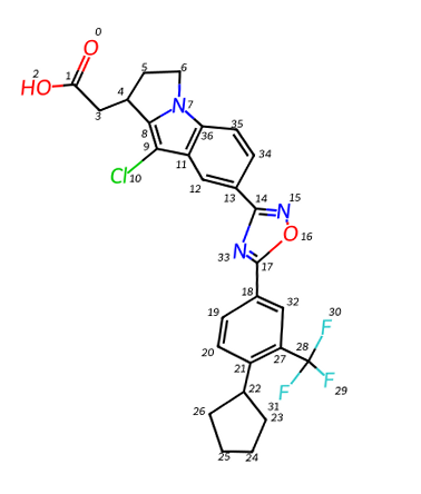 O=C(O)CC1CCn2c1c(Cl)c1cc(-c3noc(-c4ccc(C5CCCC5)c(C(F)(F)F)c4)n3)ccc12